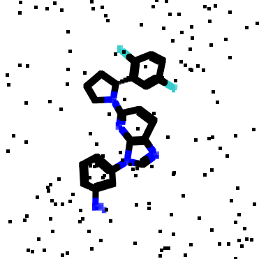 Nc1cccc(-n2cnc3ccc(N4CCC[C@@H]4c4cc(F)ccc4F)nc32)c1